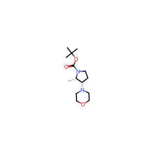 C[C@H]1[C@@H](N2CCOCC2)CCN1C(=O)OC(C)(C)C